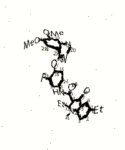 CCc1ccc2c(c1)c(=O)c(C(=O)NC1=CCC(Oc3ncnc4cc(OC)c(OC)cc34)C(F)=C1)c(CC)n2C